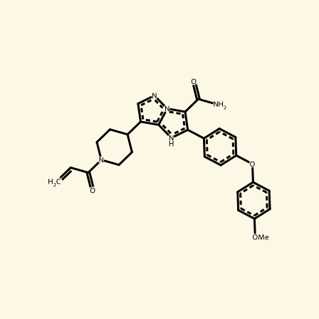 C=CC(=O)N1CCC(c2cnn3c(C(N)=O)c(-c4ccc(Oc5ccc(OC)cc5)cc4)[nH]c23)CC1